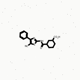 N#Cc1sc(NC(=O)C2CCCC(C(=O)O)C2)nc1-c1ccccc1